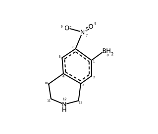 Bc1cc2c(cc1[N+](=O)[O-])CCNC2